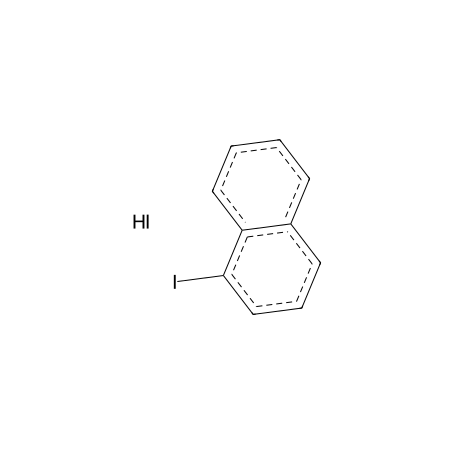 I.Ic1cccc2ccccc12